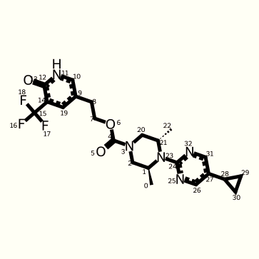 C[C@H]1CN(C(=O)OCCc2c[nH]c(=O)c(C(F)(F)F)c2)C[C@H](C)N1c1ncc(C2CC2)cn1